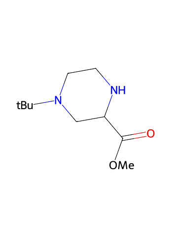 COC(=O)C1CN(C(C)(C)C)CCN1